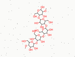 CO[C@@H]1C(O)OC(CO)C(OC2OC(CO)C(OC3OC(CO)C(OC4OC(CO)C(O)C(OC5OC(CO)[C@@H](OC)C(O)C5O)C4O)C(O)C3O)C(O)C2O)C1O